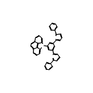 c1ccc(-c2cccc(-c3cc(-c4cccc(-c5ccccc5)n4)cc(-n4c5cccc6ccc7cccc4c7c65)c3)n2)cc1